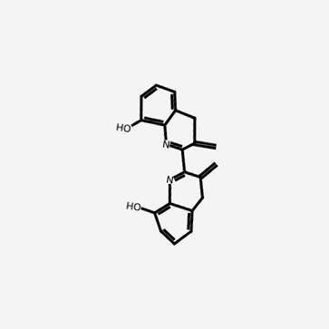 C=C1Cc2cccc(O)c2N=C1C1=Nc2c(O)cccc2CC1=C